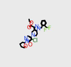 CCOC(=O)c1nn(Cc2ccccc2C(F)F)c2c1CN(c1cnn(C3CCCCO3)c(=O)c1Cl)CC2